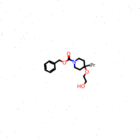 CC(C)C1(OCCO)CCN(C(=O)OCc2ccccc2)CC1